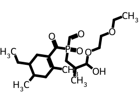 CCOCCOC(O)C(C)CP(=O)(C=O)C(=O)C1=C(C)CC(C)C(CC)C1